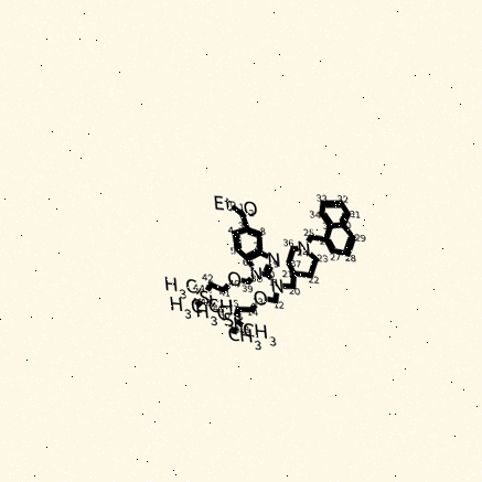 CCC(=O)c1ccc2c(c1)nc(N(COCC[Si](C)(C)C)CC1CCN(Cc3cccc4ccccc34)CC1)n2COCC[Si](C)(C)C